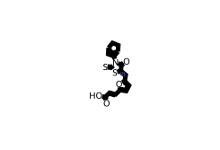 O=C(O)C=Cc1ccc(/C=C2\SC(=S)N(C3CC4CCC3C4)C2=O)o1